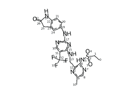 CCS(=O)(=O)Nc1ncc(C)nc1CNc1nc(Nc2ccc3c(c2)CC(=O)N3)ncc1C(F)(F)F